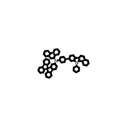 c1ccc(-n2c3cc(-c4ccc(N(c5ccc6c(c5)C5(c7ccccc7-c7ccccc75)c5ccccc5-6)c5cc6ccccc6c6ccccc56)cc4)ccc3c3ccc4ccccc4c32)cc1